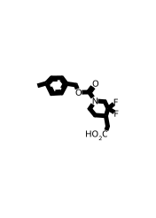 Cc1ccc(COC(=O)N2CCC(CC(=O)O)C(F)(F)C2)cc1